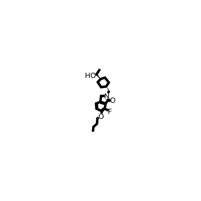 CCCCOc1ccc2c(c1F)C(=O)N(C[C@H]1CC[C@H](C(C)O)CC1)C2